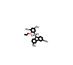 C=CCOc1c(C(C)(C)C)cc(C(C)(C)C)cc1[Si](CC)(CC)C1c2ccc(C(C)(C)C)cc2-c2cc(C(C)(C)C)ccc21